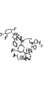 C[C@@H]1CCC[C@H](n2cnc(-c3c(F)ccc(Cl)c3F)cc2=O)c2cc(F)cc(c2)-c2c(cnn2C)NC1=O